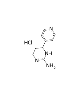 Cl.NC1=NCCC(c2ccncc2)N1